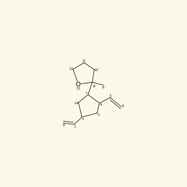 C=CC1CC(C=C)C(C2(C)CCCO2)C1